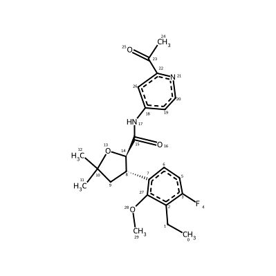 CCc1c(F)ccc([C@@H]2CC(C)(C)O[C@H]2C(=O)Nc2ccnc(C(C)=O)c2)c1OC